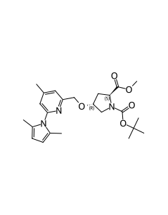 COC(=O)[C@@H]1C[C@@H](OCc2cc(C)cc(-n3c(C)ccc3C)n2)CN1C(=O)OC(C)(C)C